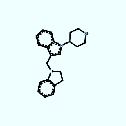 c1ccc2c(c1)CCN2Cc1cn(C2CCNCC2)c2ccccc12